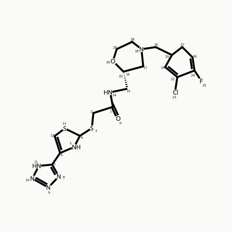 O=C(CSC1NC(c2nnn[nH]2)=CS1)NC[C@H]1CN(CC2C=C(Cl)C(F)=CC2)CCO1